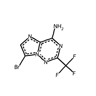 Nc1nc(C(F)(F)F)nn2c(Br)cnc12